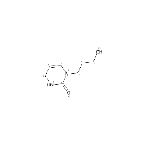 O=C1NCC=CN1CCCO